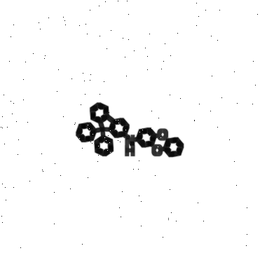 c1ccc(C2(c3ccccc3)c3ccccc3-c3ccc(Nc4ccc5c(c4)Oc4ccccc4O5)cc32)cc1